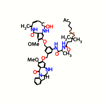 C=C1/C=C\CCC(O)Nc2cc(OCc3cc(COc4cc5c(cc4OC)C(=O)N4c6ccccc6C[C@H]4CN5)cc(NC(=O)[C@H](C)NC(=O)CCC(C)(C)SSCCCC(C)=O)c3)c(OC)cc2C(=O)N1